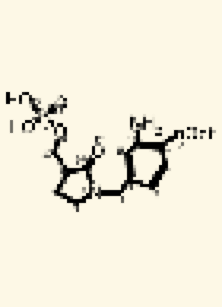 CCCCCCCCc1ccc(CN2CCC(COP(=O)(O)O)C2=O)cc1N